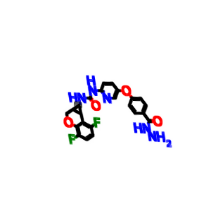 NNC(=O)c1ccc(Oc2ccc(NC(=O)N[C@@H]3C4COc5c(F)ccc(F)c5C43)nc2)cc1